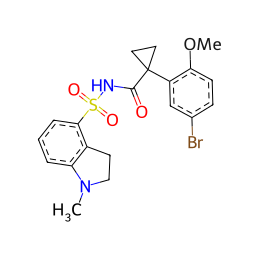 COc1ccc(Br)cc1C1(C(=O)NS(=O)(=O)c2cccc3c2CCN3C)CC1